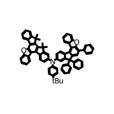 CC(C)(C)c1ccc(N(c2ccc3c(c2)C(C)(C)c2c4c(c5oc6ccccc6c5c2-3)-c2ccccc2C4(C)C)c2ccc3c(c2)C(c2ccccc2)(c2ccccc2)c2cc(-c4ccccc4)c4oc5ccccc5c4c2-3)cc1